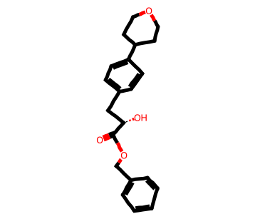 O=C(OCc1ccccc1)[C@@H](O)Cc1ccc(C2CCOCC2)cc1